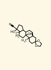 CC12CCC3(CC1=CCC1C4CCC(O)(C#N)C4(C)CCC12O)OCCO3